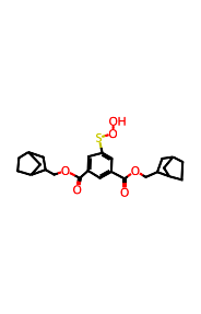 O=C(OCC1CC2CCC1C2)c1cc(SOO)cc(C(=O)OCC2CC3CCC2C3)c1